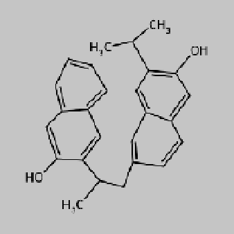 CC(C)c1cc2cc(CC(C)c3cc4ccccc4cc3O)ccc2cc1O